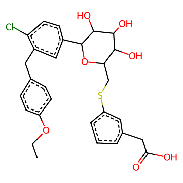 CCOc1ccc(Cc2cc(C3OC(CSc4cccc(CC(=O)O)c4)C(O)C(O)C3O)ccc2Cl)cc1